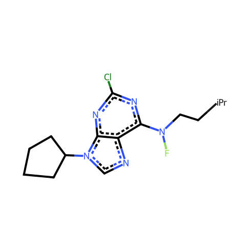 CC(C)CCN(F)c1nc(Cl)nc2c1ncn2C1CCCC1